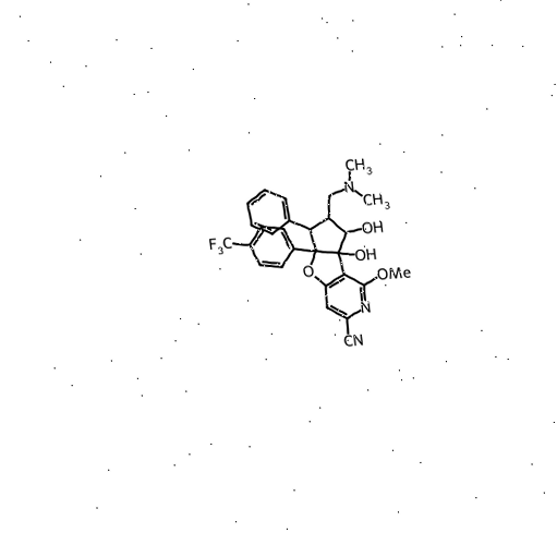 COc1nc(C#N)cc2c1C1(O)C(O)C(CN(C)C)C(c3ccccc3)C1(c1ccc(C(F)(F)F)cc1)O2